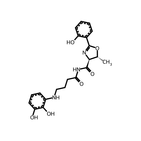 C[C@H]1OC(c2ccccc2O)=N[C@@H]1C(=O)NC(=O)CCCNc1cccc(O)c1O